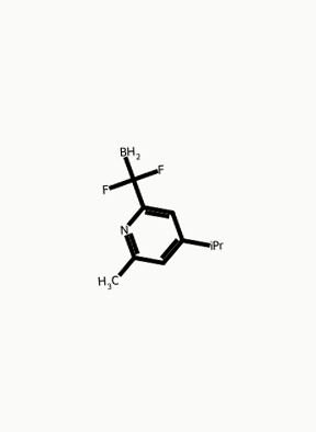 BC(F)(F)c1cc(C(C)C)cc(C)n1